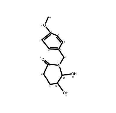 COc1ccc(CN2C(=O)CCC(O)C2O)cc1